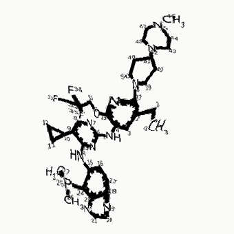 CCc1cc(Nc2ncc(C3CC3)c(Nc3ccc4nccnc4c3P(C)C)n2)c(OCC(F)(F)F)nc1N1CCC(N2CCN(C)CC2)CC1